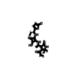 C=C(NC1=C(N[C@H](CC)c2ccc(Cl)o2)C(=O)C1O)C1=C(/C(Cl)=C\C)C(C)(C)NC1=O